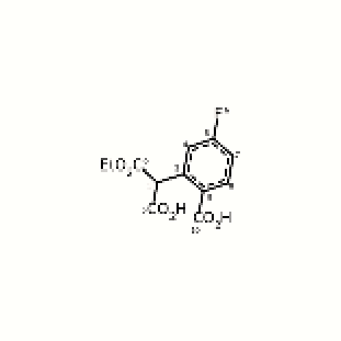 CCOC(=O)C(C(=O)O)c1cc(F)ccc1C(=O)O